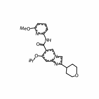 COc1cccc(NC(=O)c2cn3cc(C4CCOCC4)nc3cc2OC(C)C)n1